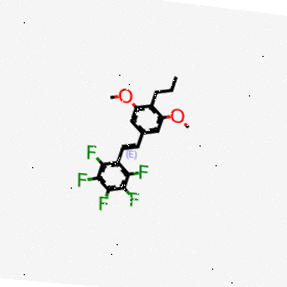 CCCc1c(OC)cc(/C=C/c2c(F)c(F)c(F)c(F)c2F)cc1OC